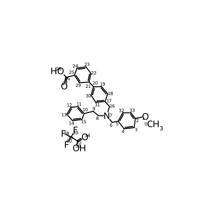 COc1ccc(CN(CCc2ccccc2)Cc2ccc(-c3cccc(C(=O)O)c3)cc2)cc1.O=C(O)C(F)(F)F